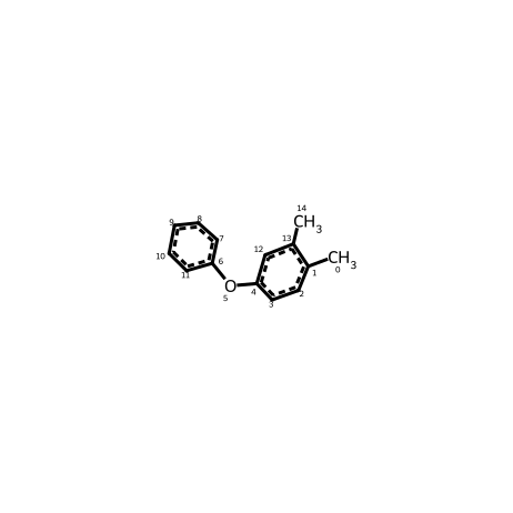 Cc1ccc(Oc2ccccc2)cc1C